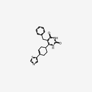 O=c1[nH]c(C2CC=C(c3cncs3)CC2)c(Cc2ccccc2)c(=O)[nH]1